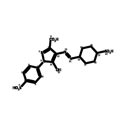 O=C(O)c1nn(-c2ccc(S(=O)(=O)O)cc2)c(O)c1N=NC1CCC(S(=O)(=O)O)CC1